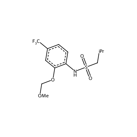 COCOc1cc(C(F)(F)F)ccc1NS(=O)(=O)CC(C)C